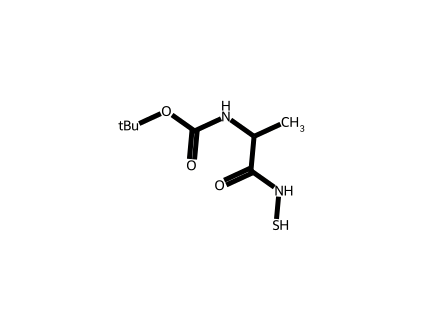 CC(NC(=O)OC(C)(C)C)C(=O)NS